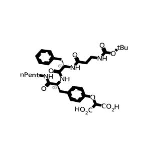 CCCCCNC(=O)[C@H](Cc1ccc(OC(C(=O)O)C(=O)O)cc1)NC(=O)[C@H](Cc1ccccc1)NC(=O)CCNC(=O)OC(C)(C)C